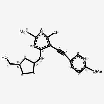 CNc1nc(Cl)c(C#Cc2ccc(OC)nc2)c(NC2CC[C@@H](CO)C2)n1